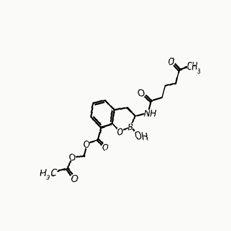 CC(=O)CCCC(=O)NC1Cc2cccc(C(=O)OCOC(C)=O)c2OB1O